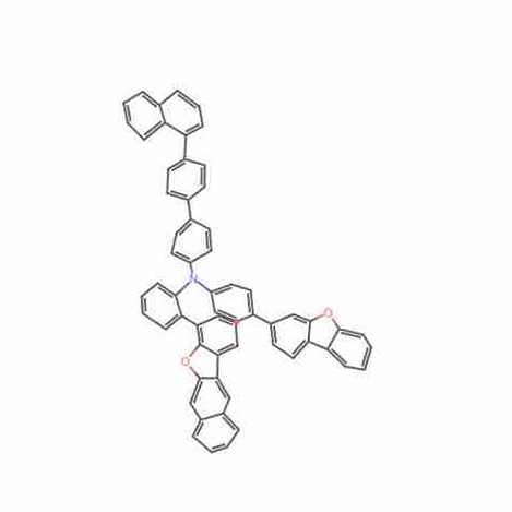 c1ccc(N(c2ccc(-c3ccc(-c4cccc5ccccc45)cc3)cc2)c2ccc(-c3ccc4c(c3)oc3ccccc34)cc2)c(-c2cccc3c2oc2cc4ccccc4cc23)c1